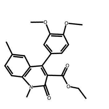 CCOC(=O)c1c(-c2ccc(OC)c(OC)c2)c2cc(C)ccc2n(C)c1=O